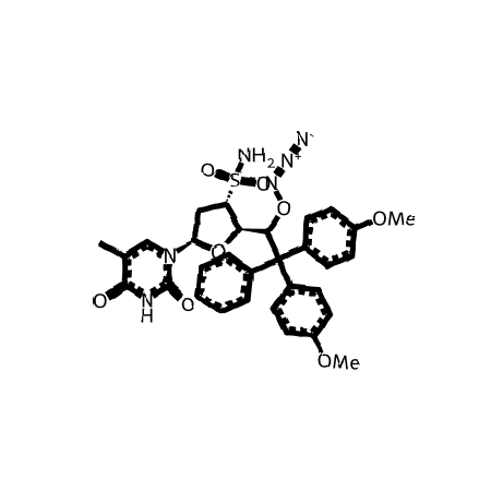 COc1ccc(C(c2ccccc2)(c2ccc(OC)cc2)C(ON=[N+]=[N-])[C@H]2O[C@@H](n3cc(C)c(=O)[nH]c3=O)C[C@@H]2S(N)(=O)=O)cc1